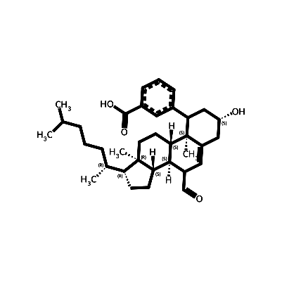 CC(C)CCC[C@@H](C)[C@H]1CC[C@H]2[C@@H]3C(C=O)C=C4C[C@@H](O)CC(c5cccc(C(=O)O)c5)[C@]4(C)[C@H]3CC[C@]12C